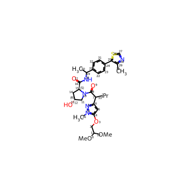 COC(COc1cc(C(C(=O)N2C[C@H](O)C[C@H]2C(=O)NC(C)c2ccc(-c3scnc3C)cc2)C(C)C)nn1C)OC